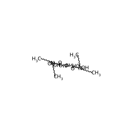 CCCCCCCCC(O)CN(CCCCC(=O)OCCN1CCN(CCSC(=O)CCCCN(CC(O)CCCCCCCC)CC(O)CCCCCCCC)CC1)CC(O)CCCCCCCC